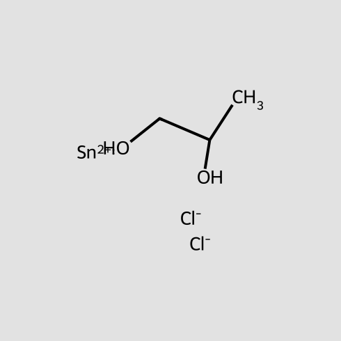 CC(O)CO.[Cl-].[Cl-].[Sn+2]